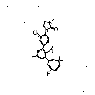 COc1c(C2=CC(C)(C)C=CC(F)=C2)cc(C)cc1-c1ccc(N2CCN(C)C2=O)c(Cl)c1